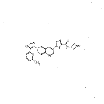 Cc1cccc(-c2[nH]cnc2-c2ccc3ncc(-c4cnc(C(=O)OC5CNC5)s4)cc3c2)n1